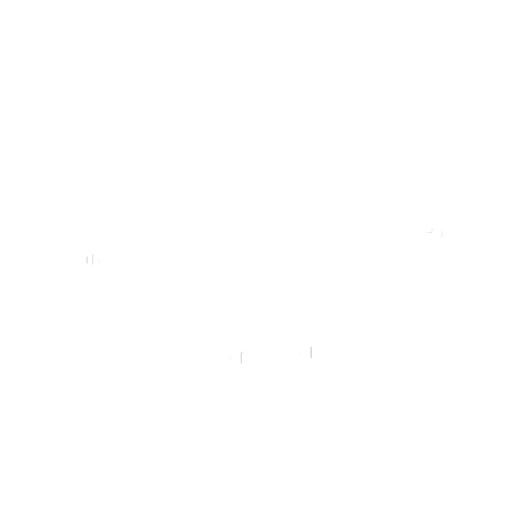 CC(C)(C)c1ccc(-c2c3ccccc3c(-c3ccc(C(C)(C)C)cc3)c3cc(Cl)c(Cl)cc23)cc1